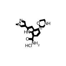 Cl.Cn1cc(-c2cc3c([C@H]4CNCCO4)ccc(C(N)=O)c3[nH]2)cn1